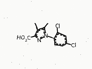 Cc1c(C(=O)O)nn(-c2ccc(Cl)cc2Cl)c1C